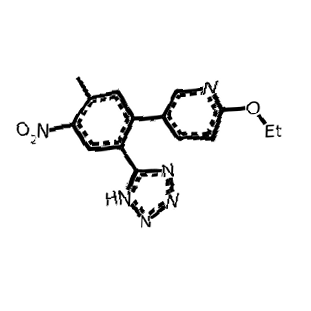 CCOc1ccc(-c2cc(C)c([N+](=O)[O-])cc2-c2nnn[nH]2)cn1